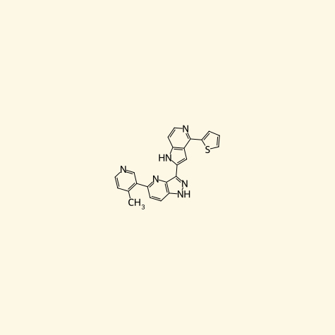 Cc1ccncc1-c1ccc2[nH]nc(-c3cc4c(-c5cccs5)nccc4[nH]3)c2n1